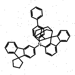 c1ccc(-c2ccc(N(c3ccc4c(c3)-c3ccccc3C43CCCC3)c3cccc4c3C3(c5ccccc5-4)C4CC5CC(C4)CC3C5)cc2)cc1